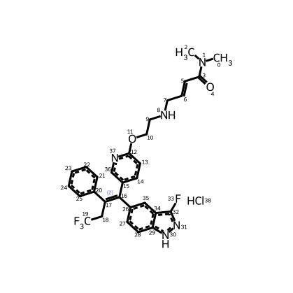 CN(C)C(=O)C=CCNCCOc1ccc(/C(=C(/CC(F)(F)F)c2ccccc2)c2ccc3[nH]nc(F)c3c2)cn1.Cl